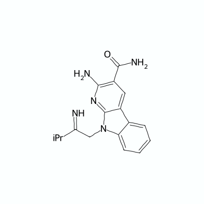 CC(C)C(=N)Cn1c2ccccc2c2cc(C(N)=O)c(N)nc21